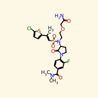 C/C(=C\S(=O)(=O)N(CCOCC(N)=O)[C@H]1CCN(c2ccc(C(=O)N(C)C)cc2F)C1=O)c1ccc(Cl)s1